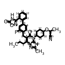 CCCc1c(Cc2ccc(-c3ccccc3-c3noc(=O)[nH]3)cc2F)c(=O)n(C2CCC(OC(C)C#N)CC2)c2nc(C)nn12